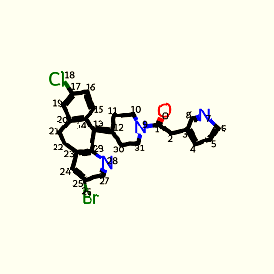 O=C(Cc1cccnc1)N1CCC(=C2c3ccc(Cl)cc3CCc3cc(Br)cnc32)CC1